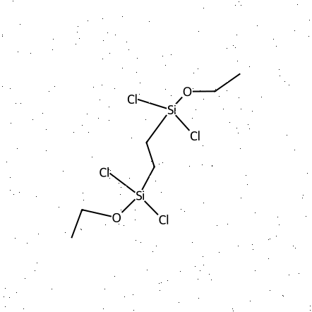 CCO[Si](Cl)(Cl)CC[Si](Cl)(Cl)OCC